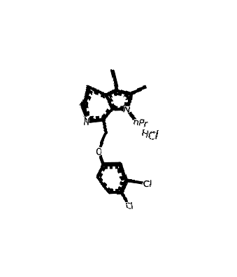 CCCn1c(C)c(C)c2ccnc(COc3ccc(Cl)c(Cl)c3)c21.Cl